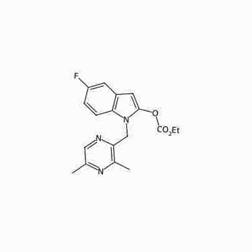 CCOC(=O)Oc1cc2cc(F)ccc2n1Cc1ncc(C)nc1C